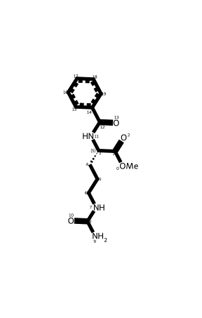 COC(=O)[C@H](CCCNC(N)=O)NC(=O)c1ccccc1